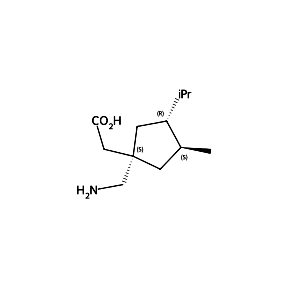 CC(C)[C@H]1C[C@](CN)(CC(=O)O)C[C@@H]1C